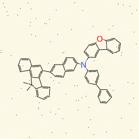 CC1(C)c2ccccc2-c2c(-c3ccc4cc(N(c5ccc(-c6ccccc6)cc5)c5ccc6oc7ccccc7c6c5)ccc4c3)cc3ccccc3c21